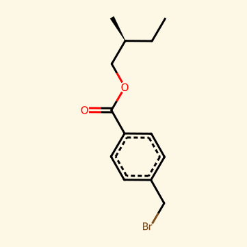 CC[C@H](C)COC(=O)c1ccc(CBr)cc1